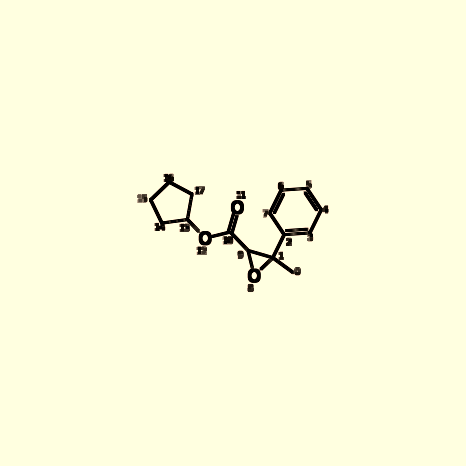 CC1(c2ccccc2)OC1C(=O)OC1CCCC1